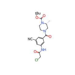 C[C@@H]1CN(C(=O)c2cc(C#N)cc(NC(=O)CCl)c2)CCN1C(=O)OC(C)(C)C